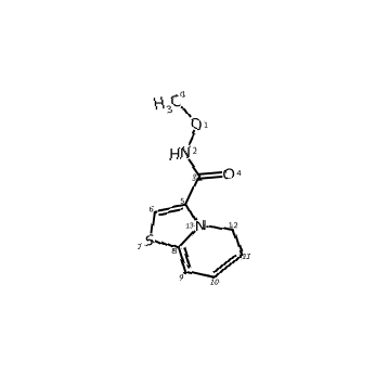 CONC(=O)C1=CSC2=CC=CCN21